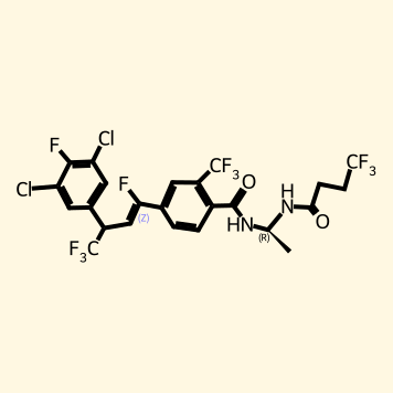 C[C@H](NC(=O)CCC(F)(F)F)NC(=O)c1ccc(/C(F)=C/C(c2cc(Cl)c(F)c(Cl)c2)C(F)(F)F)cc1C(F)(F)F